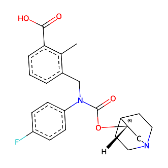 Cc1c(CN(C(=O)O[C@H]2CN3CCC2CC3)c2ccc(F)cc2)cccc1C(=O)O